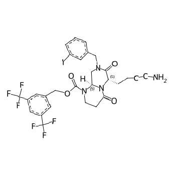 NCCCC[C@H]1C(=O)N(Cc2cccc(I)c2)C[C@@H]2N(C(=O)OCc3cc(C(F)(F)F)cc(C(F)(F)F)c3)CCC(=O)N21